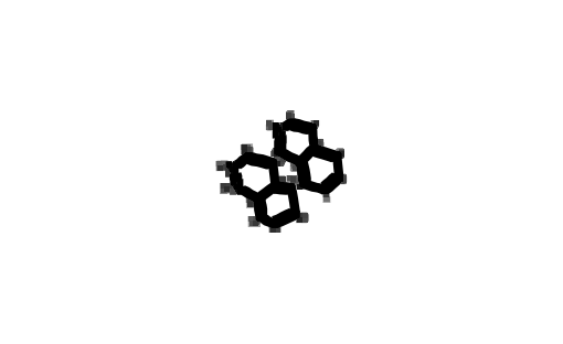 c1ccc2cnccc2c1.c1ccc2nnccc2c1